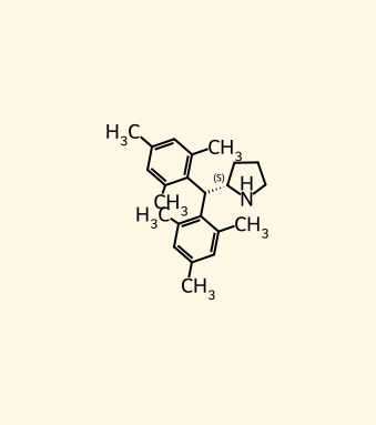 Cc1cc(C)c(C(c2c(C)cc(C)cc2C)[C@@H]2CCCN2)c(C)c1